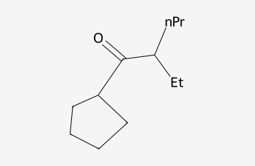 CCCC(CC)C(=O)C1CCCC1